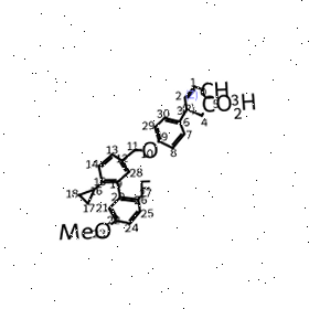 C/C=C\[C@@H](CC(=O)O)c1ccc(OCc2ccc(C3CC3)c(-c3cc(OC)ccc3F)c2)cc1